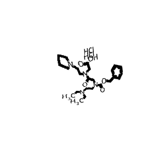 CCN(CC)CCN(CC(=O)N(CCN1CCCC1)CC(=O)O)C(=O)OCc1ccccc1.Cl.Cl